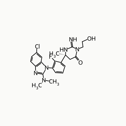 CN(C)c1nc2ccc(Cl)cc2n1-c1cccc([C@]2(C)CC(=O)N(CCO)C(=N)N2)c1F